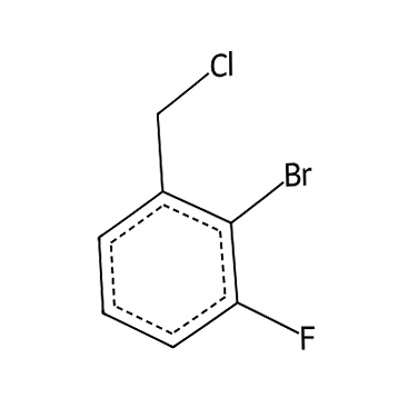 Fc1cccc(CCl)c1Br